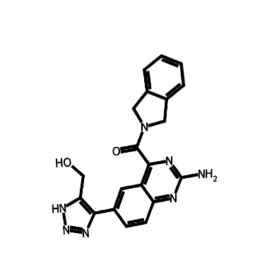 Nc1nc(C(=O)N2Cc3ccccc3C2)c2cc(-c3nn[nH]c3CO)ccc2n1